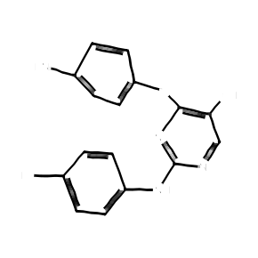 Cc1cnc(Nc2ccc(O)cc2)nc1Sc1ccc(N)cc1